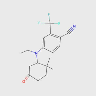 CCN(c1ccc(C#N)c(C(F)(F)F)c1)C1CC(=O)CCC1(C)C